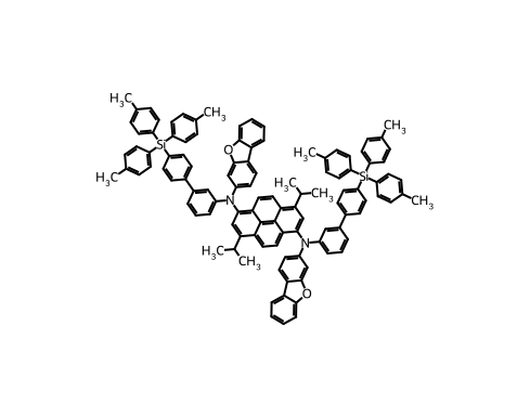 Cc1ccc([Si](c2ccc(C)cc2)(c2ccc(C)cc2)c2ccc(-c3cccc(N(c4ccc5c(c4)oc4ccccc45)c4cc(C(C)C)c5ccc6c(N(c7cccc(-c8ccc([Si](c9ccc(C)cc9)(c9ccc(C)cc9)c9ccc(C)cc9)cc8)c7)c7ccc8c(c7)oc7ccccc78)cc(C(C)C)c7ccc4c5c76)c3)cc2)cc1